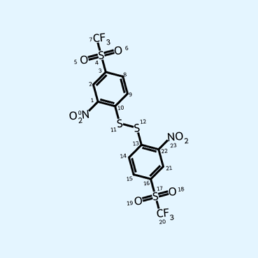 O=[N+]([O-])c1cc(S(=O)(=O)C(F)(F)F)ccc1SSc1ccc(S(=O)(=O)C(F)(F)F)cc1[N+](=O)[O-]